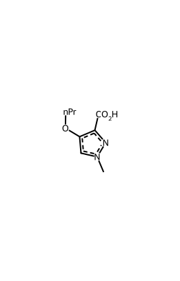 CCCOc1cn(C)nc1C(=O)O